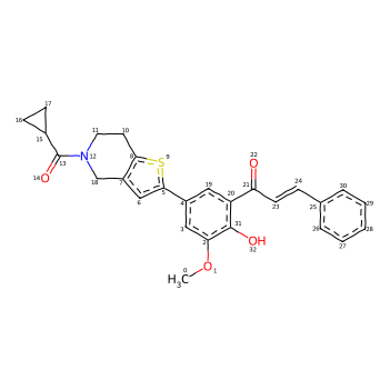 COc1cc(-c2cc3c(s2)CCN(C(=O)C2CC2)C3)cc(C(=O)/C=C/c2ccccc2)c1O